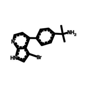 CC(C)(N)c1ccc(-c2ccnc3[nH]cc(Br)c23)cc1